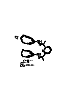 CC(=NNc1ccccc1)c1cccc(C(C)=NNc2ccccc2)n1.[Cl-].[Cl-].[Cl-].[Co+3]